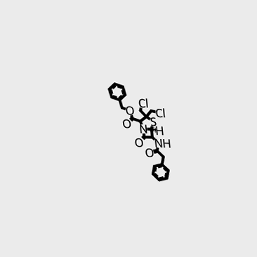 O=C(Cc1ccccc1)NC1C(=O)N2C(C(=O)OCc3ccccc3)C(CCl)(CCl)S[C@H]12